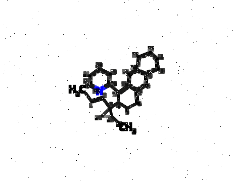 CC=CC1(C2CC=c3cc4ccccc4cc3=C2c2ccccn2)CC1C